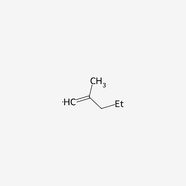 [CH]=C(C)CCC